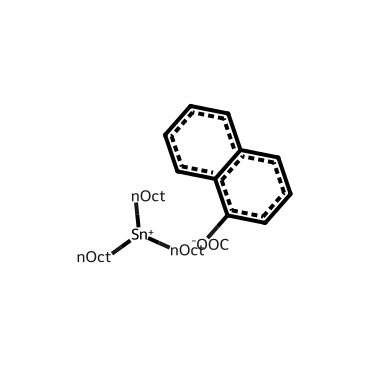 CCCCCCC[CH2][Sn+]([CH2]CCCCCCC)[CH2]CCCCCCC.O=C([O-])c1cccc2ccccc12